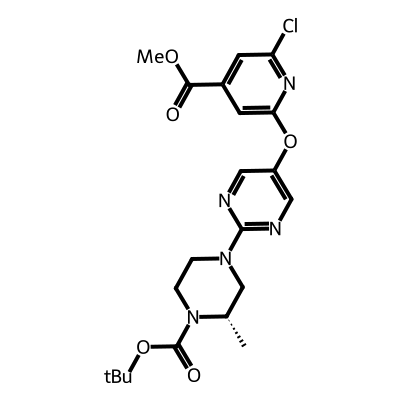 COC(=O)c1cc(Cl)nc(Oc2cnc(N3CCN(C(=O)OC(C)(C)C)[C@@H](C)C3)nc2)c1